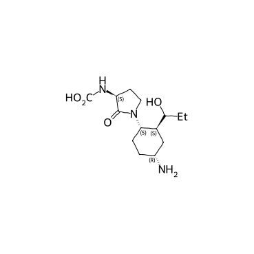 CCC(O)[C@H]1C[C@H](N)CC[C@@H]1N1CC[C@H](NC(=O)O)C1=O